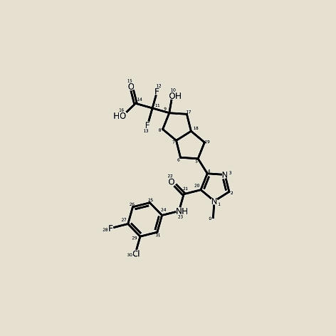 Cn1cnc(C2CC3CC(O)(C(F)(F)C(=O)O)CC3C2)c1C(=O)Nc1ccc(F)c(Cl)c1